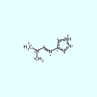 CN(C)C=Nc1cn[nH]c1